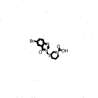 O=C(O)N1CCC[C@@H](Cn2cnc3ccc(Br)cc3c2=O)C1